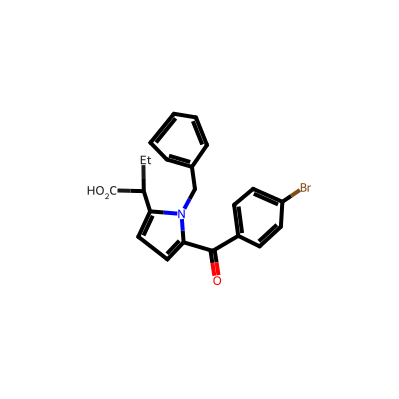 CCC(C(=O)O)c1ccc(C(=O)c2ccc(Br)cc2)n1Cc1ccccc1